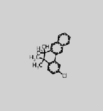 CC1(C)c2ccc(Cl)cc2-c2cc3ccccc3cc2C1(C)C